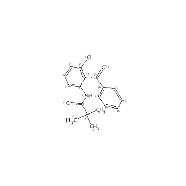 CC(C)(C)C(=O)Nc1nccc(Cl)c1C(=O)c1ccccc1